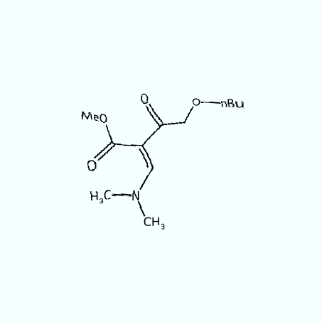 CCCCOCC(=O)/C(=C/N(C)C)C(=O)OC